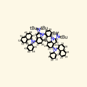 CC(C)(C)N(c1cc2c(N(c3ccccc3)c3cccc4ccccc34)ccc3c2n1-c1cccc2c1B3c1ccc(N(c3ccccc3)c3cccc4ccccc34)c3cc(N(C(C)(C)C)C(C)(C)C)n-2c13)C(C)(C)C